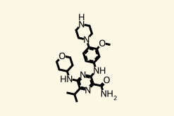 COc1cc(Nc2nc(NC3CCOCC3)c(C(C)C)nc2C(N)=O)ccc1N1CCNCC1